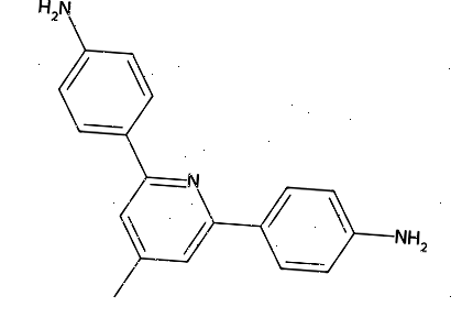 Cc1cc(-c2ccc(N)cc2)nc(-c2ccc(N)cc2)c1